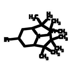 CC(C)CN1C2CC(C(C)C)CC1C(C)(C)C(C)(C)C(C)(C)C2(C)C